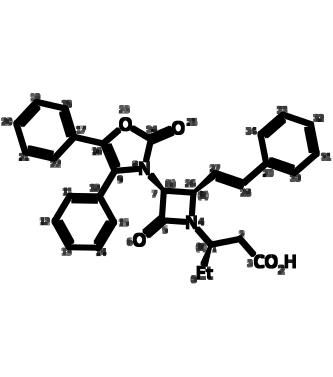 CC[C@H](CC(=O)O)N1C(=O)[C@@H](n2c(-c3ccccc3)c(-c3ccccc3)oc2=O)[C@H]1C=Cc1ccccc1